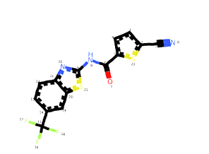 N#Cc1ccc(C(=O)Nc2nc3ccc(C(F)(F)F)cc3s2)s1